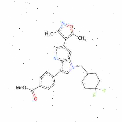 COC(=O)c1ccc(-c2cn(CC3CCC(F)(F)CC3)c3cc(-c4c(C)noc4C)cnc23)cc1